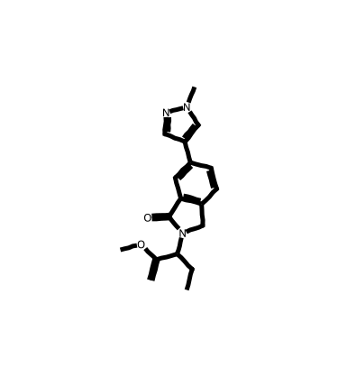 C=C(OC)C(CC)N1Cc2ccc(-c3cnn(C)c3)cc2C1=O